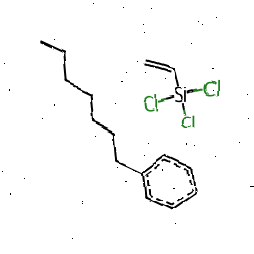 C=C[Si](Cl)(Cl)Cl.CCCCCCCc1ccccc1